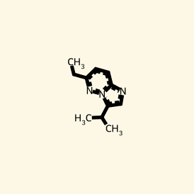 CCc1ccc2ncc(C(C)C)n2n1